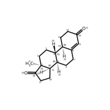 C[C@]12CC[C@H]3[C@@H](CCC4=CC(=O)CC[C@@H]43)[C@H]1CCC2=O